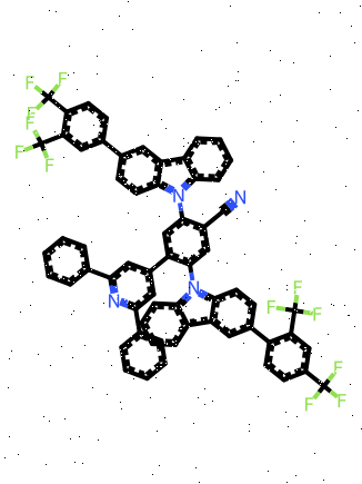 N#Cc1cc(-n2c3ccccc3c3cc(-c4ccc(C(F)(F)F)cc4C(F)(F)F)ccc32)c(-c2cc(-c3ccccc3)nc(-c3ccccc3)c2)cc1-n1c2ccccc2c2cc(-c3ccc(C(F)(F)F)c(C(F)(F)F)c3)ccc21